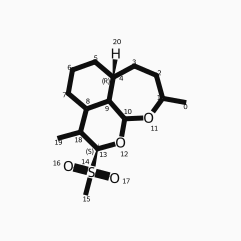 CC1CC[C@H]2CCCC3C2C(O1)O[C@@H](S(C)(=O)=O)C3C